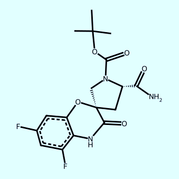 CC(C)(C)OC(=O)N1C[C@@]2(C[C@H]1C(N)=O)Oc1cc(F)cc(F)c1NC2=O